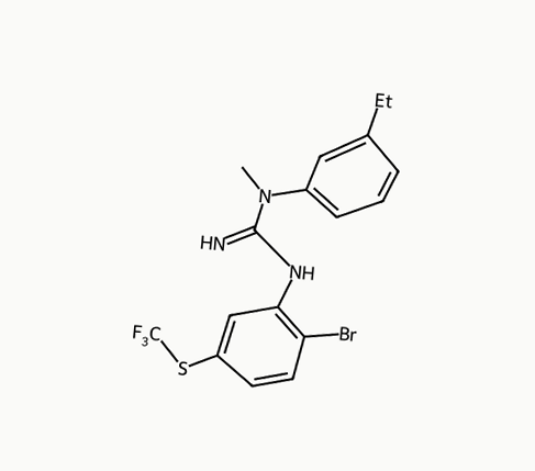 CCc1cccc(N(C)C(=N)Nc2cc(SC(F)(F)F)ccc2Br)c1